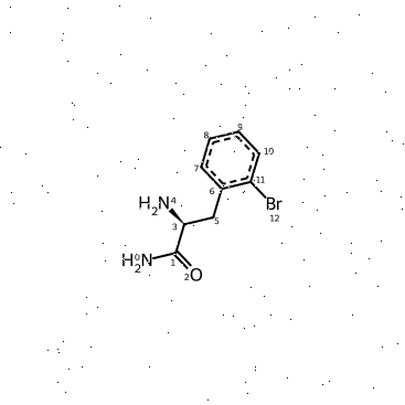 NC(=O)[C@@H](N)Cc1ccccc1Br